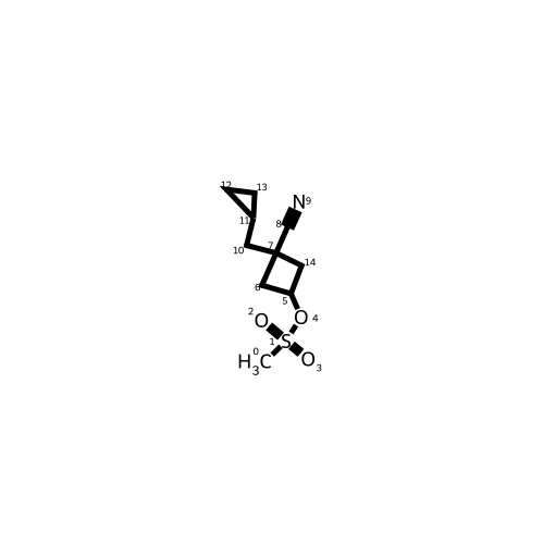 CS(=O)(=O)OC1CC(C#N)(CC2CC2)C1